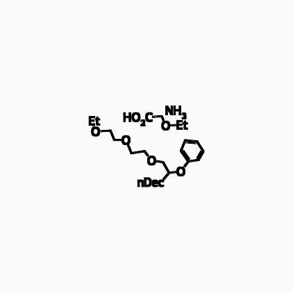 CCCCCCCCCCC(COCCOCCOCC)Oc1ccccc1.CCOCC(=O)O.N